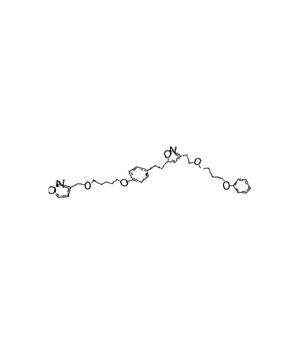 c1ccc(OCCCCOCCc2cc(CCc3ccc(OCCCCCOCc4ccon4)cc3)on2)cc1